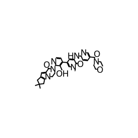 Cn1cc(-c2ccnc(N3CCn4c(cc5c4CC(C)(C)C5)C3=O)c2CO)cc(Nc2ccc(C(=O)N3CCOCC3)cn2)c1=O